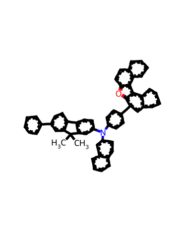 CC1(C)c2cc(-c3ccccc3)ccc2-c2ccc(N(c3ccc(-c4cc5ccccc5c5c4oc4ccc6ccccc6c45)cc3)c3ccc4ccccc4c3)cc21